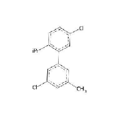 Cc1cc(Cl)cc(-c2cc(Cl)ccc2C(C)C)c1